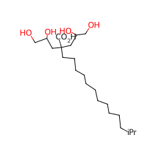 CC(C)CCCCCCCCCCCC(CC(O)CO)(CC(O)CO)C(=O)O